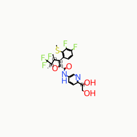 CSc1c([C@H]2[C@H](C(=O)Nc3ccc([C@@H](O)CO)nc3)O[C@@](C)(C(F)(F)F)[C@H]2C)ccc(F)c1F